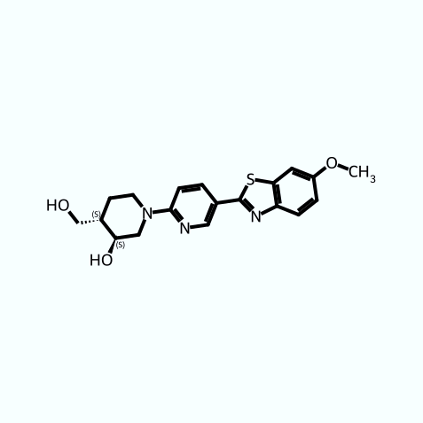 COc1ccc2nc(-c3ccc(N4CC[C@@H](CO)[C@H](O)C4)nc3)sc2c1